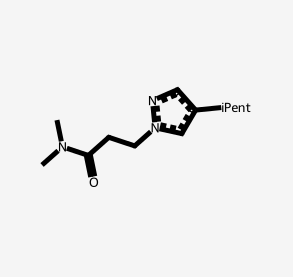 CCCC(C)c1cnn(CCC(=O)N(C)C)c1